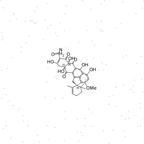 COc1cc(O)c2c(O)c3c(c4c2c1[C@@]1(C4)C(C)=CCCC1(C)C)C(=O)[C@]1(O)CC(O)=C(C(N)=O)C(=O)[C@]1(O)C3=O